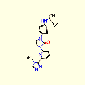 CC(C)n1cnnc1-c1cccc(N2CCN(c3ccc(NC(C#N)C4CC4)cc3)C2=O)n1